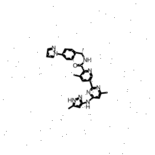 Cc1cc(Nc2cc(C)[nH]n2)nc(-c2cnc(C(=O)N[C@@H](C)c3ccc(-n4cccn4)cc3)c(C)c2)n1